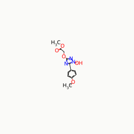 COC(=O)COc1nc(-c2ccc(OC)cc2)n(O)n1